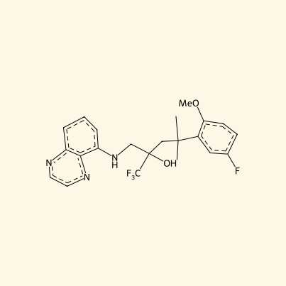 COc1ccc(F)cc1C(C)(C)CC(O)(CNc1cccc2nccnc12)C(F)(F)F